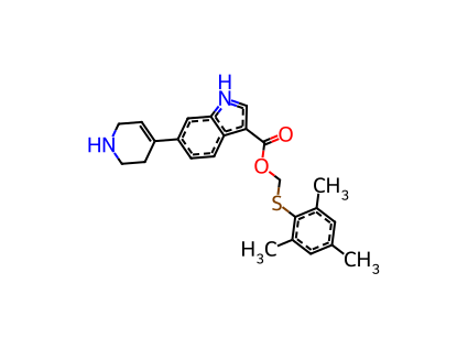 Cc1cc(C)c(SCOC(=O)c2c[nH]c3cc(C4=CCNCC4)ccc23)c(C)c1